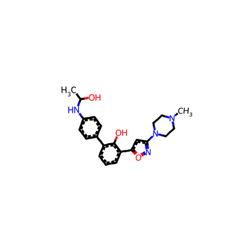 CC(O)Nc1ccc(-c2cccc(-c3cc(N4CCN(C)CC4)no3)c2O)cc1